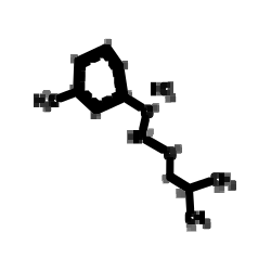 Cc1cccc(OPOCC(C)C)c1.Cl